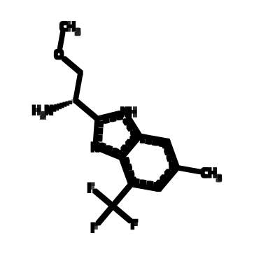 COC[C@@H](N)c1nc2c(C(F)(F)F)cc(C)cc2[nH]1